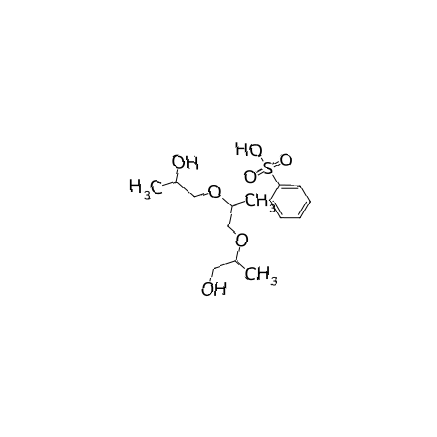 CC(O)COC(C)COC(C)CO.O=S(=O)(O)c1ccccc1